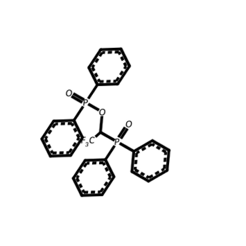 O=P(OC(C(F)(F)F)P(=O)(c1ccccc1)c1ccccc1)(c1ccccc1)c1ccccc1